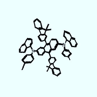 Cc1ccc(N(c2ccc3c(-c4ccc5c(c4)C(C)(C)C4=C5CCC=C4)c4cc(N(c5ccc(C)cc5)c5cccc6ccccc56)ccc4c(C4=CC5=C(CC4)c4ccccc4C5(C)C)c3c2)c2cccc3ccccc23)cc1